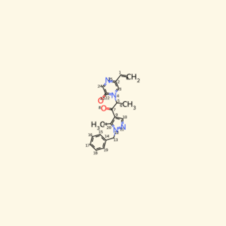 C=Cc1cn(C(C)C(=O)c2cnn(Cc3ccccc3)c2C)c(=O)cn1